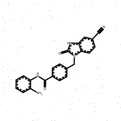 N#Cc1ccc2c(c1)[nH]c(=O)n2Cc1ccc(C(=O)Nc2ccccc2N)cc1